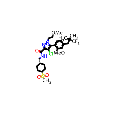 COCCn1nc(C(=O)NC[C@H]2CC[C@H](S(C)(=O)=O)CC2)c(Cl)c1-c1ccc(CC(C)(C)C(F)(F)F)cc1OC